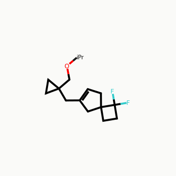 CC(C)OCC1(CC2=CCC3(CCC3(F)F)C2)CC1